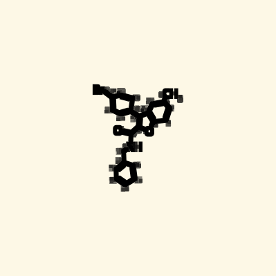 Cc1ccc2oc(C(=O)NCc3ccccc3)c(-c3ccc(Br)cc3)c2c1